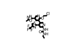 CCNC(=O)Nc1cc(-c2nc(C(F)(F)F)cs2)c(-c2cc(-c3nnc(C)o3)cnc2OCCCl)cn1